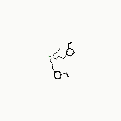 C=Cc1cccc(CCC[Si](Cl)(CCC)CCCc2cccc(C=C)c2)c1